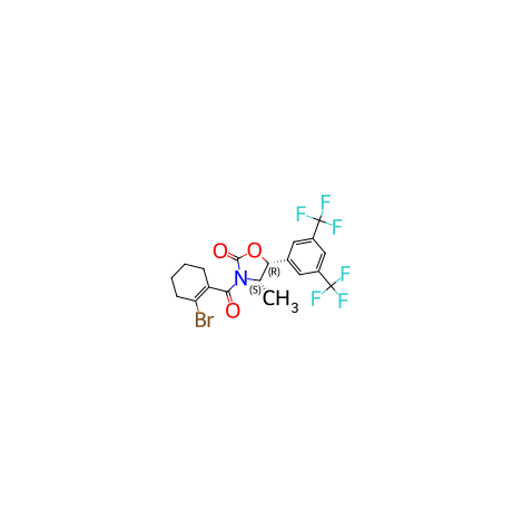 C[C@H]1[C@@H](c2cc(C(F)(F)F)cc(C(F)(F)F)c2)OC(=O)N1C(=O)C1=C(Br)CCCC1